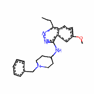 CCc1nnc(NC2CCN(Cc3ccccc3)CC2)c2cc(OC)ccc12